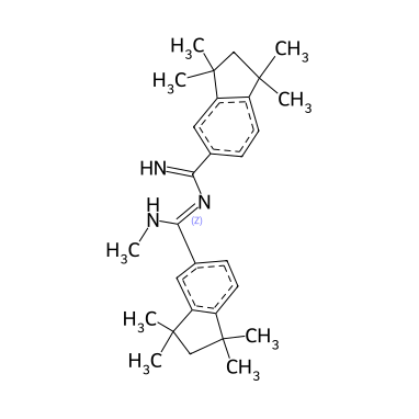 CN/C(=N\C(=N)c1ccc2c(c1)C(C)(C)CC2(C)C)c1ccc2c(c1)C(C)(C)CC2(C)C